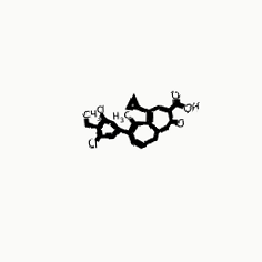 CCc1c(Cl)cc(C2=C(C)C3=C(C4CC4)C=C(C(=O)O)C(=O)CC3CC=C2)cc1Cl